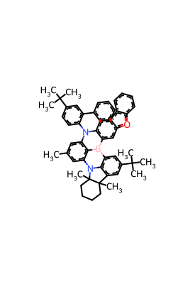 Cc1cc2c3c(c1)N1c4c(cc(C(C)(C)C)cc4C4(C)CCCCC14C)B3c1cc3oc4ccccc4c3cc1N2c1ccc(C(C)(C)C)cc1-c1ccccc1